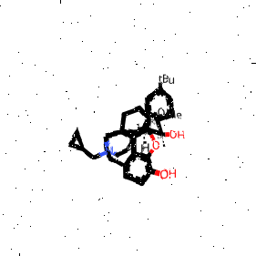 CO[C@]12CCC3(C[C@@H]1[C@](C)(O)c1ccc(C(C)(C)C)cc1)C1Cc4ccc(O)c5c4[C@@]3(CCN1CC1CC1)[C@@H]2O5